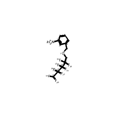 Nc1cccc(COCC(F)(F)C(F)(F)C(F)(F)C(F)F)c1